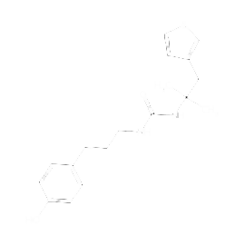 CC(C)(Cc1ccsc1)NC(=O)NCCCc1ccc(O)cc1